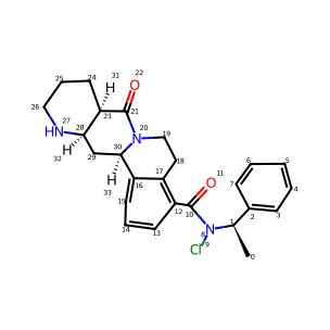 C[C@H](c1ccccc1)N(Cl)C(=O)c1cccc2c1CCN1C(=O)[C@@H]3CCCN[C@@H]3C[C@H]21